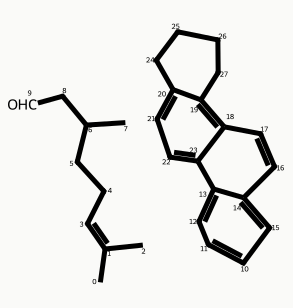 CC(C)=CCCC(C)CC=O.c1ccc2c(c1)ccc1c3c(ccc12)CCCC3